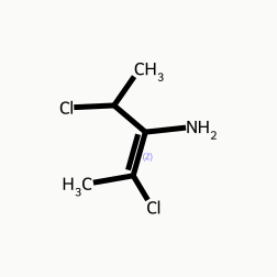 C/C(Cl)=C(/N)C(C)Cl